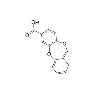 O=C(O)c1ccc2c(c1)OC1=CC=CCC1=CO2